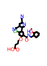 COc1ccccc1CNC(=O)c1cc(-c2cnc(C#N)cc2C#N)c(Cl)cc1OCCCC(=O)O